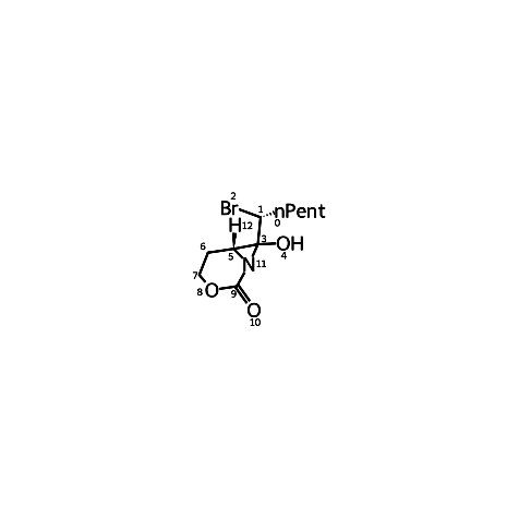 CCCCC[C@@H](Br)C1(O)[C@H]2CCOC(=O)N21